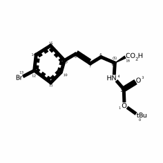 CC(C)(C)OC(=O)N[C@@H](CC=Cc1ccc(Br)cc1)C(=O)O